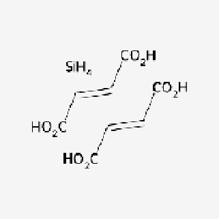 O=C(O)/C=C/C(=O)O.O=C(O)/C=C/C(=O)O.[SiH4]